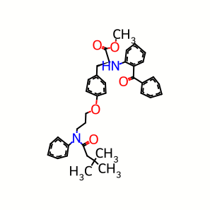 COC(=O)[C@H](Cc1ccc(OCCCN(C(=O)CC(C)(C)C)c2ccccc2)cc1)Nc1ccccc1C(=O)c1ccccc1